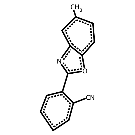 Cc1ccc2oc(-c3ccccc3C#N)nc2c1